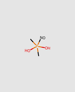 CP(C)(O)(O)N=O